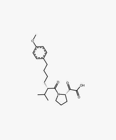 COc1ccc(CCCC[C@H](C(=O)N2CCC[C@H]2C(=O)C(=O)O)C(C)C)cc1